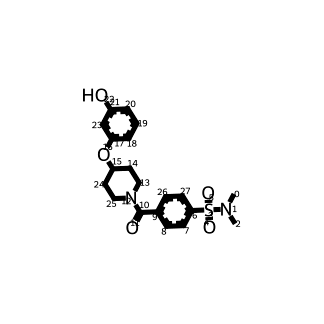 CN(C)S(=O)(=O)c1ccc(C(=O)N2CCC(Oc3cccc(O)c3)CC2)cc1